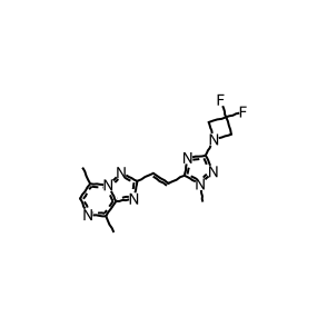 Cc1ncc(C)n2nc(/C=C/c3nc(N4CC(F)(F)C4)nn3C)nc12